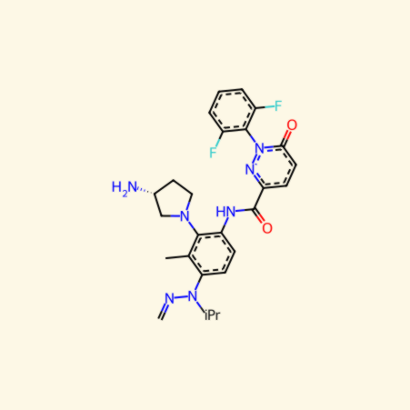 C=NN(c1ccc(NC(=O)c2ccc(=O)n(-c3c(F)cccc3F)n2)c(N2CC[C@@H](N)C2)c1C)C(C)C